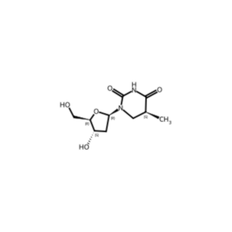 C[C@H]1CN([C@H]2C[C@H](O)[C@@H](CO)O2)C(=O)NC1=O